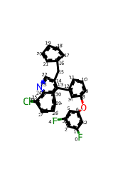 Fc1cc(F)cc(Oc2cccc(-c3c(Cc4ccccc4)cnc4c(Cl)cccc34)c2)c1